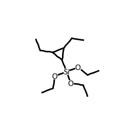 CCO[Si](OCC)(OCC)C1C(CC)C1CC